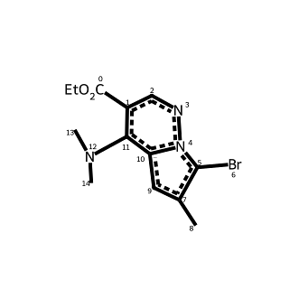 CCOC(=O)c1cnn2c(Br)c(C)cc2c1N(C)C